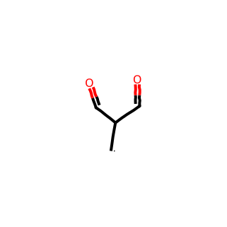 [CH2]C(C=O)C=O